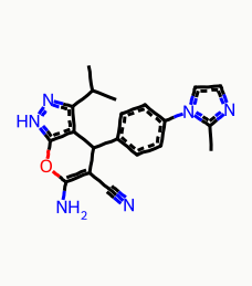 Cc1nccn1-c1ccc(C2C(C#N)=C(N)Oc3[nH]nc(C(C)C)c32)cc1